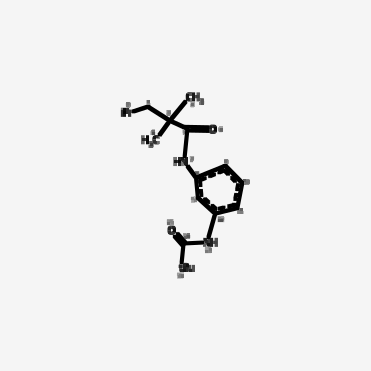 CC(C)CC(C)(C)C(=O)Nc1cccc(NC(=O)C(C)(C)C)c1